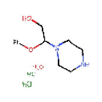 CCOC(CO)N1CCNCC1.Cl.Cl.O